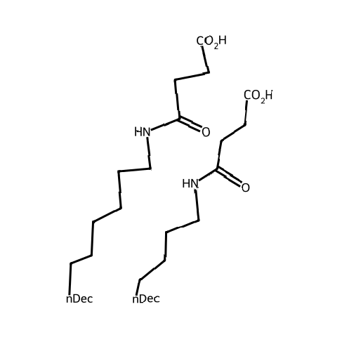 CCCCCCCCCCCCCCCCNC(=O)CCC(=O)O.CCCCCCCCCCCCCCNC(=O)CCC(=O)O